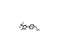 Cn1nc(C23CCC(CO)(CC2)CC3)cc1C(C)(F)F